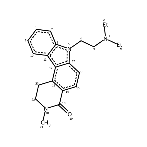 CCN(CC)CCn1c2ccccc2c2c3c(ccc21)C(=O)N(C)CC3